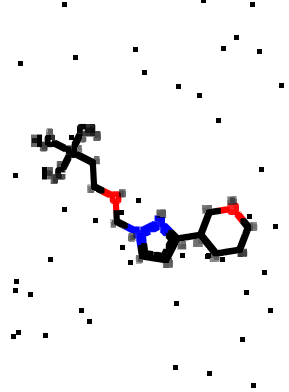 C[Si](C)(C)CCOCn1c[c]c(C2CCCOC2)n1